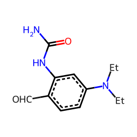 CCN(CC)c1ccc(C=O)c(NC(N)=O)c1